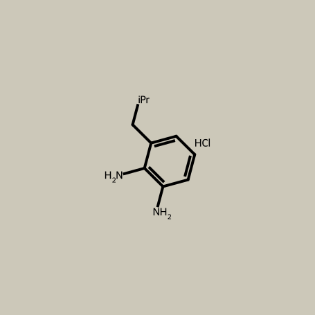 CC(C)Cc1cccc(N)c1N.Cl